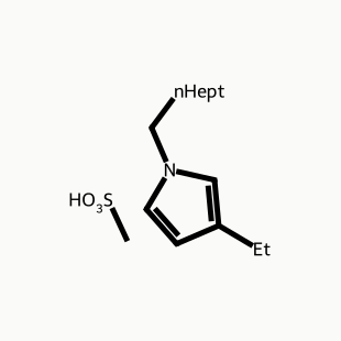 CCCCCCCCn1ccc(CC)c1.CS(=O)(=O)O